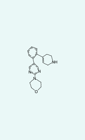 C1=C(c2ccccc2-c2cnc(N3CCOCC3)nc2)CCNC1